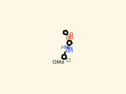 COc1ccc(CNc2nc3ccc(OS(=O)(=O)c4ccccc4)cc3[nH]2)cc1Cl